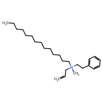 C=CC[N+](C)(CCCCCCCCCCCCCC)CCc1ccccc1